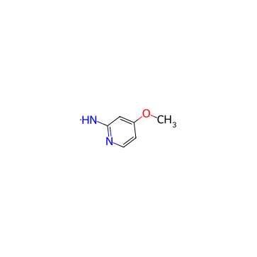 COc1ccnc([NH])c1